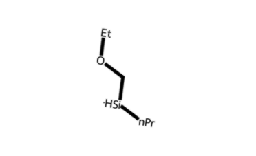 CCC[SiH]COCC